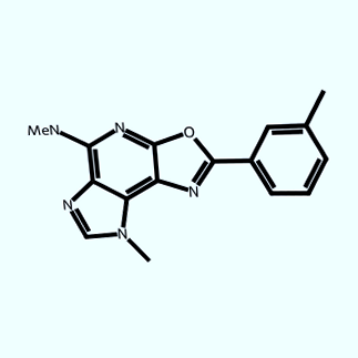 CNc1nc2oc(-c3cccc(C)c3)nc2c2c1ncn2C